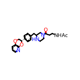 CC(=O)NCCC(=O)N1CCNC(Cc2ccc([C@H]3COc4cccnc4O3)cc2)C1